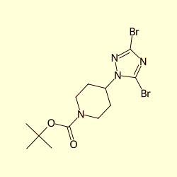 CC(C)(C)OC(=O)N1CCC(n2nc(Br)nc2Br)CC1